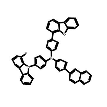 Fc1cccc2c3ccccc3n(-c3ccc(N(c4ccc(-c5ccc6ccccc6c5)cc4)c4ccc(-c5cccc6c5oc5ccccc56)cc4)cc3)c12